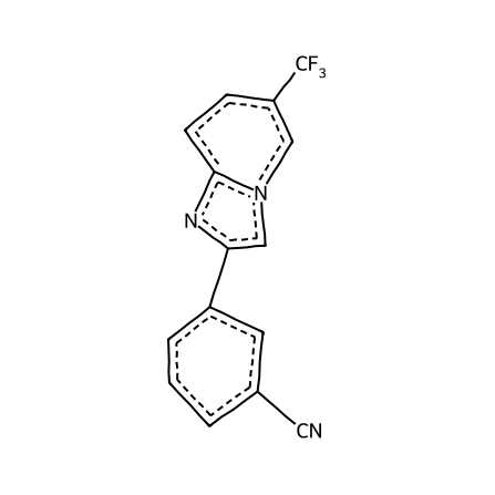 N#Cc1cccc(-c2cn3cc(C(F)(F)F)ccc3n2)c1